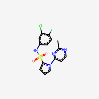 Cc1nccc(-n2cccc2S(=O)(=O)Nc2ccc(F)c(Cl)c2)n1